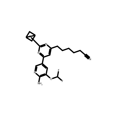 N#CCCCCCc1cc(-c2cnc(N)c(OC(F)F)c2)nc(N2CC3CC2C3)n1